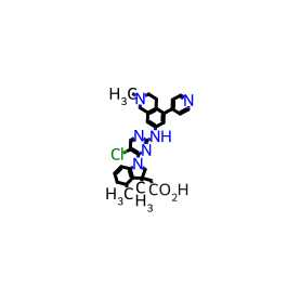 CC1CC=CC2=C1C(C)(CC(=O)O)CN2c1nc(Nc2cc3c(c(-c4ccncc4)c2)CCN(C)C3)ncc1Cl